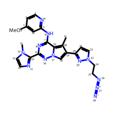 COc1ccnc(Nc2nc(-c3nccn3C)nn3cc(-c4ccn(CCN=[N+]=[N-])n4)c(C)c23)c1